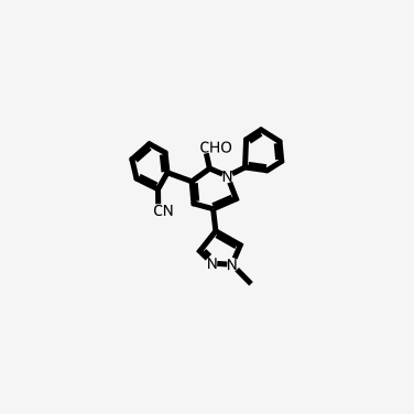 Cn1cc(C2=CN(c3ccccc3)C(C=O)C(c3ccccc3C#N)=C2)cn1